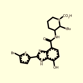 CC(C)(C)C1C(NC(=O)c2ccc(O)c3[nH]c(-c4ccc(Br)s4)nc23)CCCN1C(=O)O